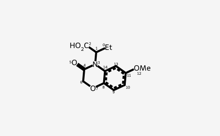 CCC(C(=O)O)N1C(=O)COc2ccc(OC)cc21